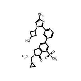 Cc1cn(C2CC(O)C2)c(-c2cc(-c3cc4c(c(S(C)(=O)=O)c3)C(=O)N([C@@H](C)C3CC3)C4)ccn2)n1